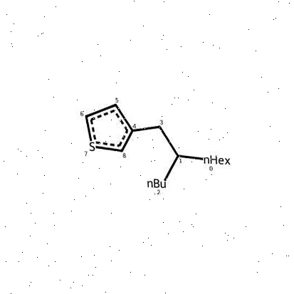 CCCCCCC(CCCC)Cc1ccsc1